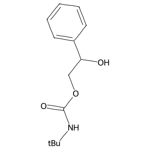 CC(C)(C)NC(=O)OCC(O)c1ccccc1